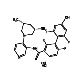 C[C@@H]1C[C@H](N)CN(c2ccncc2NC(=O)c2ccc(F)c(-c3c(F)cc(O)cc3F)c2F)C1.Cl.Cl